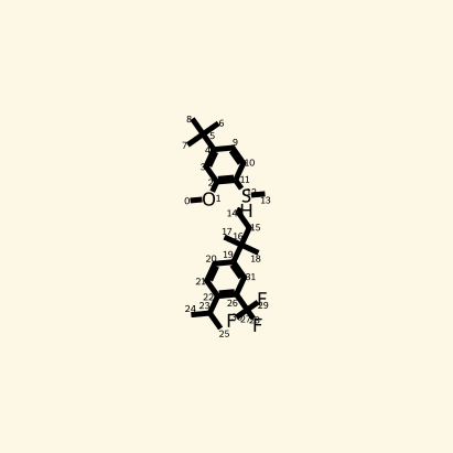 COc1cc(C(C)(C)C)ccc1[SH](C)CCC(C)(C)c1ccc(C(C)C)c(C(F)(F)F)c1